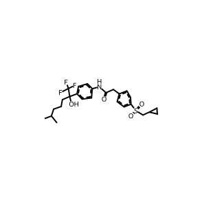 CC(C)CCCC(O)(c1ccc(NC(=O)Cc2ccc(S(=O)(=O)CC3CC3)cc2)cc1)C(F)(F)F